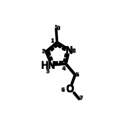 [CH2]c1c[nH]c(COC)n1